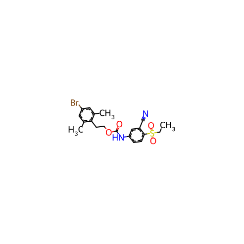 CCS(=O)(=O)c1ccc(NC(=O)OCCc2c(C)cc(Br)cc2C)cc1C#N